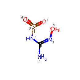 NC(=NO)N[SH](=O)=O